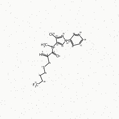 CN(C(=O)C(=N)CSCCCC(F)(F)F)c1cn(-c2cccnc2)nc1Cl